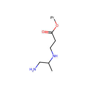 CC(CN)NCCC(=O)OC(C)C